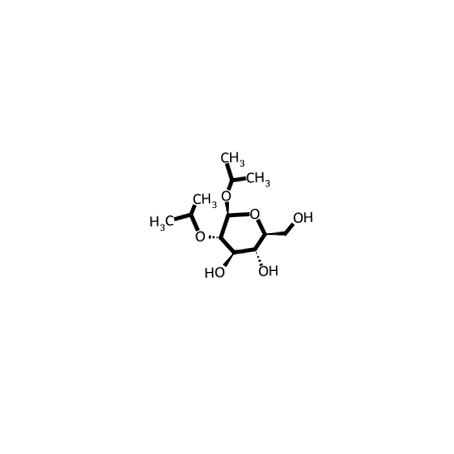 CC(C)O[C@H]1O[C@@H](CO)[C@H](O)[C@@H](O)[C@@H]1OC(C)C